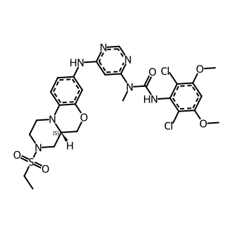 CCS(=O)(=O)N1CCN2c3ccc(Nc4cc(N(C)C(=O)Nc5c(Cl)c(OC)cc(OC)c5Cl)ncn4)cc3OC[C@@H]2C1